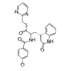 O=C(NC(Cc1cc(=O)[nH]c2ccccc12)C(=O)SCc1ncccn1)c1ccc(Cl)cc1